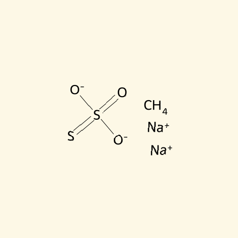 C.O=S([O-])([O-])=S.[Na+].[Na+]